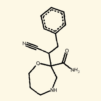 N#CC(Cc1ccccc1)C1(C(N)=O)CNCCCO1